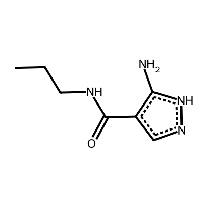 CCCNC(=O)c1cn[nH]c1N